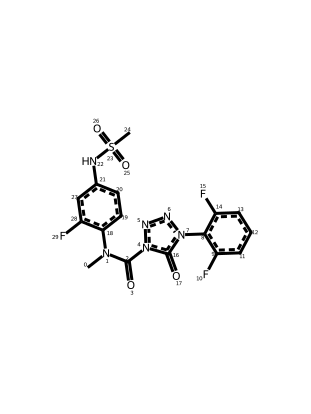 CN(C(=O)n1nnn(-c2c(F)cccc2F)c1=O)c1ccc(NS(C)(=O)=O)cc1F